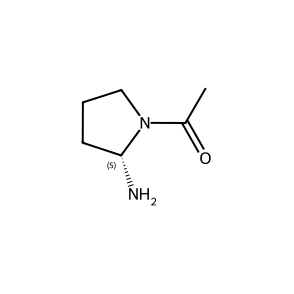 CC(=O)N1CCC[C@H]1N